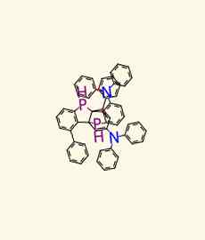 C1=C(N(c2ccccc2)c2ccccc2)C=C(c2ccccc2)C23Pc4cccc(-c5ccccc5)c4C12Pc1cccc(N(c2ccccc2)c2ccccc2)c13